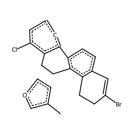 Cc1ccoc1.Clc1cccc2c1CCc1c-2ccc2c1CCC(Br)=C2